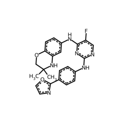 CC1(C)COc2ccc(Nc3nc(Nc4ccc(-c5ncco5)cc4)ncc3F)cc2N1